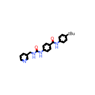 CC(C)(C)c1ccc(NC(=O)c2ccc(NC(=O)NCc3cccnc3)cc2)cc1